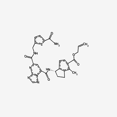 C=CCOC(=O)c1ccc2c(c1C)CC[C@@H]2NC(=O)c1cc(C(=O)NCc2ccc(C(N)=O)s2)nc2ncnn12